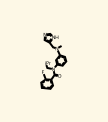 CC(C)CN(C(=O)c1ccccc1F)c1cccc(N(C)Cc2cnc[nH]2)c1